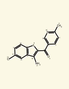 Cc1ccc(C(=O)c2sc3ccc(Cl)cc3c2N)cn1